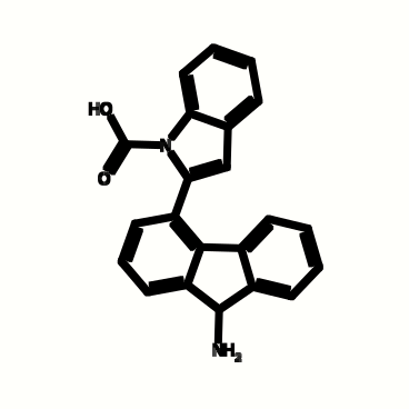 NC1c2ccccc2-c2c(-c3cc4ccccc4n3C(=O)O)cccc21